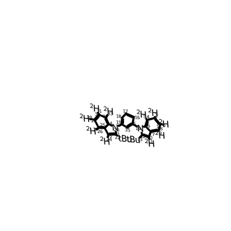 [2H]c1c([2H])c([2H])c2c(c1[2H])c([2H])c(C(C)(C)C)n2-c1cccc(-n2c(C(C)(C)C)c([2H])c3c([2H])c([2H])c([2H])c([2H])c32)c1